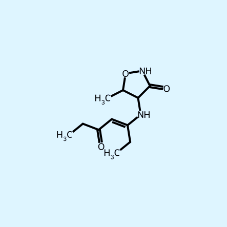 CCC(=O)C=C(CC)NC1C(=O)NOC1C